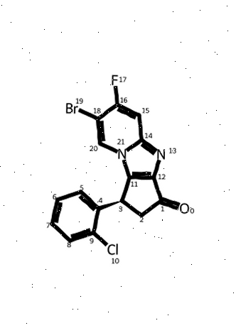 O=C1C[C@@H](c2ccccc2Cl)c2c1nc1cc(F)c(Br)cn21